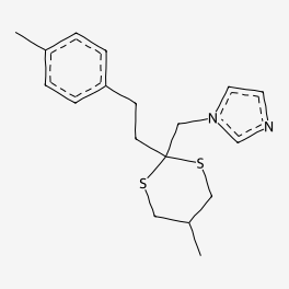 Cc1ccc(CCC2(Cn3ccnc3)SCC(C)CS2)cc1